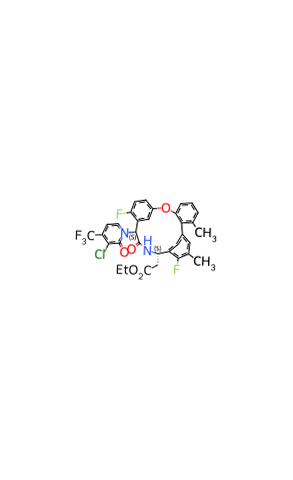 CCOC(=O)C[C@@H]1NC(=O)[C@@H](n2ccc(C(F)(F)F)c(Cl)c2=O)c2cc(ccc2F)Oc2cccc(C)c2-c2cc(C)c(F)c1c2